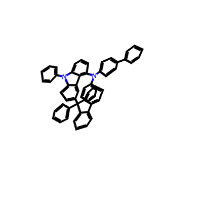 c1ccc(-c2ccc(N(c3ccccc3)c3cccc4c3c3cc(C5(c6ccccc6)c6ccccc6-c6ccccc65)ccc3n4-c3ccccc3)cc2)cc1